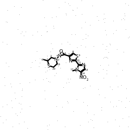 CC1CN(N2OC2c2csc(-c3ncc([N+](=O)[O-])n3C)n2)CCS1